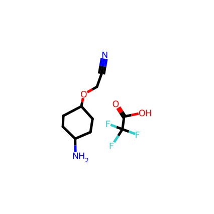 N#CCOC1CCC(N)CC1.O=C(O)C(F)(F)F